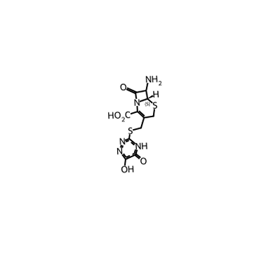 NC1C(=O)N2C(C(=O)O)=C(CSc3nnc(O)c(=O)[nH]3)CS[C@@H]12